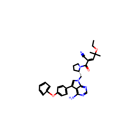 CCOC(C)(C)C=C(C#N)C(=O)N1CCC[C@H]1Cn1cc(-c2ccc(Oc3ccccc3)cc2)c2c(N)ncnc21